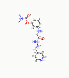 CN(C)C(=O)Oc1cccc(NCC(=O)N/N=C/c2ccncc2)c1